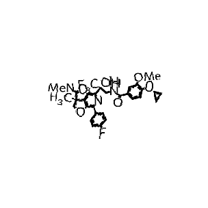 CNC(=O)[C@@]1(C)COc2c1cc([C@@](O)(CNC(=O)c1ccc(OC3CC3)c(OC)c1)C(F)(F)F)nc2-c1ccc(F)cc1